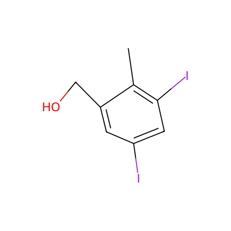 Cc1c(I)cc(I)cc1CO